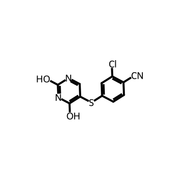 N#Cc1ccc(Sc2cnc(O)nc2O)cc1Cl